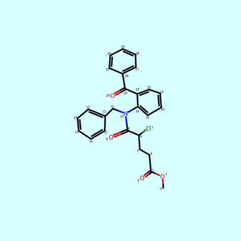 COC(=O)CCC(Cl)C(=O)N(Cc1ccccc1)c1ccccc1C(=O)c1ccccc1